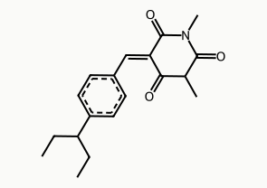 CCC(CC)c1ccc(C=C2C(=O)C(C)C(=O)N(C)C2=O)cc1